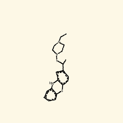 CCN1CCN(SC(C)c2ccc3c(c2)Nc2ccccc2S3)CC1